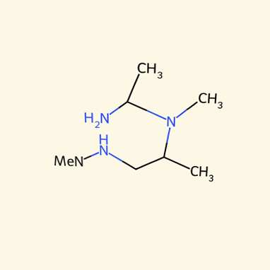 CNNCC(C)N(C)C(C)N